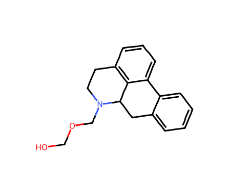 OCOCN1CCc2cccc3c2C1Cc1ccccc1-3